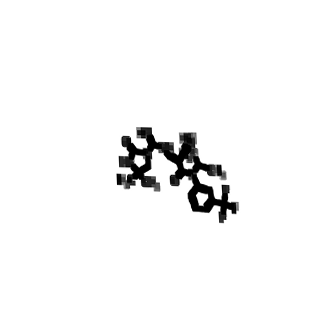 CC(C)N(C(=O)C(C#N)=CNC(=N)N1CC(C)(C)NC1=O)c1cccc(C(F)(F)F)c1.Cl